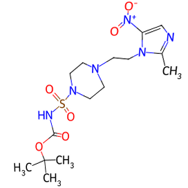 Cc1ncc([N+](=O)[O-])n1CCN1CCN(S(=O)(=O)NC(=O)OC(C)(C)C)CC1